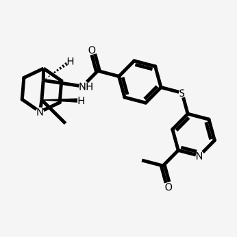 CC(=O)c1cc(Sc2ccc(C(=O)N[C@@H]3C4CCN(CC4)[C@H]3C)cc2)ccn1